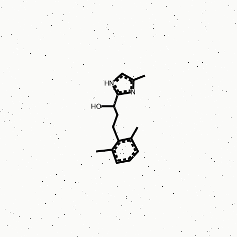 Cc1c[nH]c(C(O)CCc2c(C)cccc2C)n1